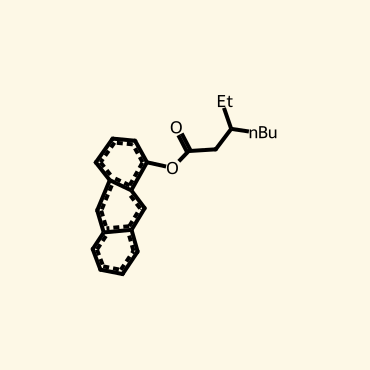 CCCCC(CC)CC(=O)Oc1cccc2cc3ccccc3cc12